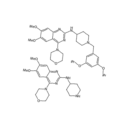 COc1cc2nc(NC3CCN(Cc4cc(OC(C)C)cc(OC(C)C)c4)CC3)nc(N3CCOCC3)c2cc1OC.COc1cc2nc(NC3CCNCC3)nc(N3CCOCC3)c2cc1OC